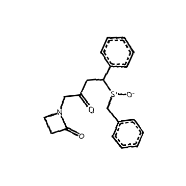 O=C(CC(c1ccccc1)[S+]([O-])Cc1ccccc1)CN1CCC1=O